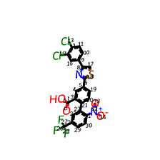 O=C(O)c1cc(-c2nc(-c3ccc(Cl)c(Cl)c3)cs2)ccc1-c1cc(C(F)(F)F)ccc1[N+](=O)[O-]